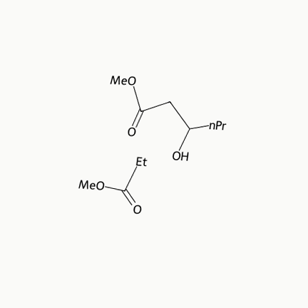 CCC(=O)OC.CCCC(O)CC(=O)OC